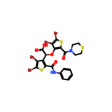 O=C(Nc1ccccc1)c1sc(Br)c(Br)c1C(Oc1c(C(=O)N2CCSCC2)sc(Br)c1Br)C(=O)O